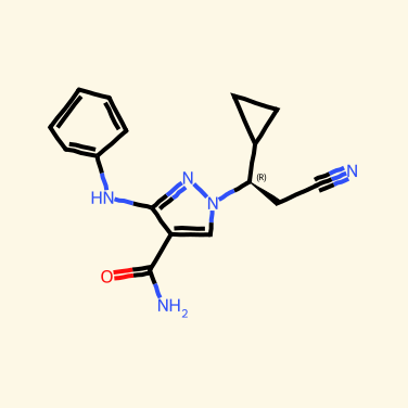 N#CC[C@H](C1CC1)n1cc(C(N)=O)c(Nc2ccccc2)n1